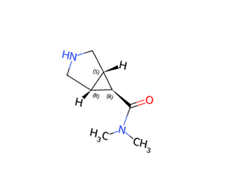 CN(C)C(=O)[C@H]1[C@@H]2CNC[C@@H]21